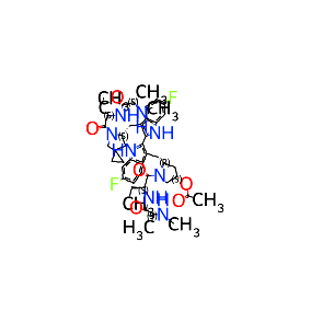 CC[C@H](NC(=O)[C@H](C)NC)C(=O)N1C[C@@H](OC(C)=O)C[C@H]1Cc1c(-c2[nH]c3cc(F)ccc3c2C[C@@H]2CC3(CC3)CN2C(=O)[C@H](CC)NC(=O)[C@H](C)NC)[nH]c2cc(F)ccc12